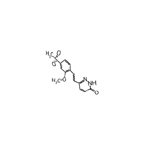 COc1cc(S(C)(=O)=O)ccc1C=Cc1ccc(=O)[nH]n1